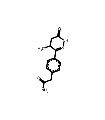 CC1CC(=O)NN=C1c1ccc(CC(N)=O)cc1